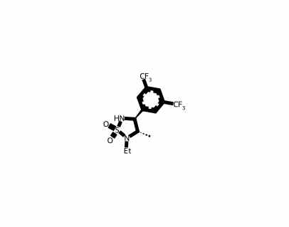 CCN1[C@@H](C)[C@H](c2cc(C(F)(F)F)cc(C(F)(F)F)c2)NS1(=O)=O